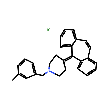 Cc1cccc(CN2CCC(=C3c4ccccc4C=Cc4ccccc43)CC2)c1.Cl